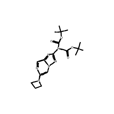 CC(C)(C)OC(=O)N(C(=O)OC(C)(C)C)c1nc2cnc(N3CCC3)cn2n1